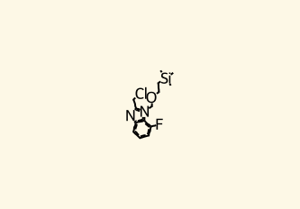 C[Si](C)(C)CCOCn1c(CCl)nc2cccc(F)c21